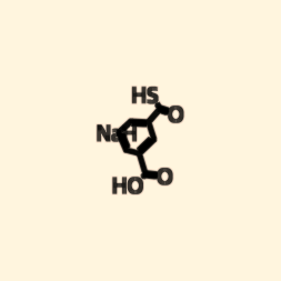 O=C(O)c1cccc(C(=O)S)c1.[NaH]